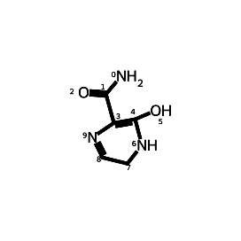 NC(=O)C1=C(O)NCC=N1